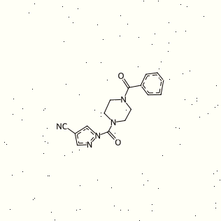 N#Cc1cnn(C(=O)N2CCN(C(=O)c3ccccc3)CC2)c1